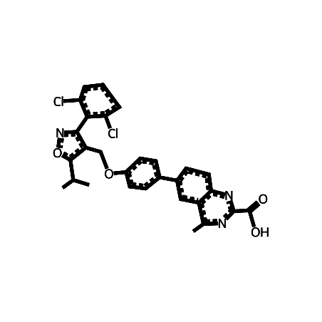 Cc1nc(C(=O)O)nc2ccc(-c3ccc(OCc4c(-c5c(Cl)cccc5Cl)noc4C(C)C)cc3)cc12